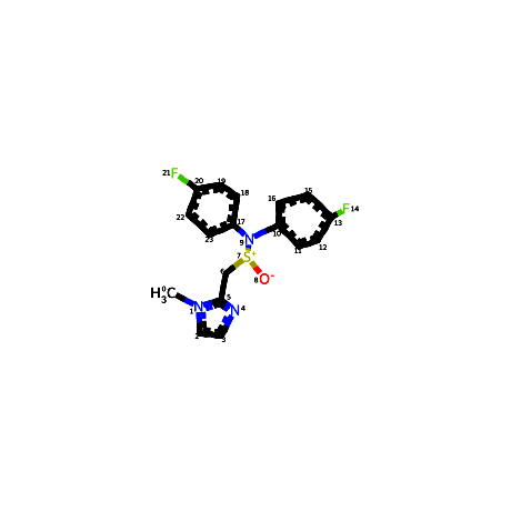 Cn1ccnc1C[S+]([O-])N(c1ccc(F)cc1)c1ccc(F)cc1